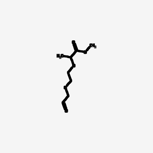 COC(=O)C(C)OCCOCC=O